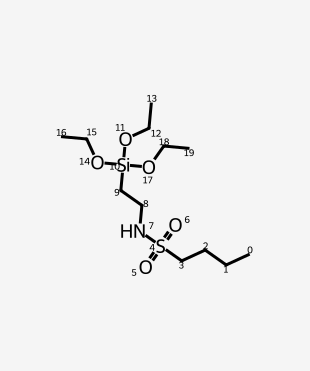 CCCCS(=O)(=O)NCC[Si](OCC)(OCC)OCC